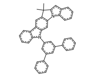 CC1(C)c2cc3c4ccccc4n(-c4cc(-c5ccccc5)cc(-c5ccccc5)c4)c3cc2-n2c1cc1ccccc12